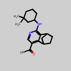 CC1(C)CCCC(Nc2ncc(C(=O)N=O)c3c2C2CCC3C2)C1